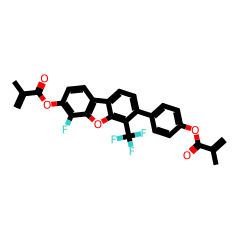 C=C(C)C(=O)Oc1ccc(-c2ccc3c(oc4c(F)c(OC(=O)C(=C)C)ccc43)c2C(F)(F)F)cc1